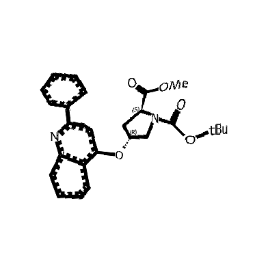 COC(=O)[C@@H]1C[C@@H](Oc2cc(-c3ccccc3)nc3ccccc23)CN1C(=O)OC(C)(C)C